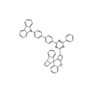 C1=CC2c3ccccc3C3(c4ccccc4Oc4ccc(-c5nc(-c6ccccc6)nc(-c6ccc(-c7ccc(-n8c9ccccc9c9ccccc98)cc7)cc6)n5)cc43)C2C=C1